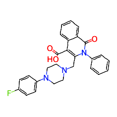 O=C(O)c1c(CN2CCN(c3ccc(F)cc3)CC2)n(-c2ccccc2)c(=O)c2ccccc12